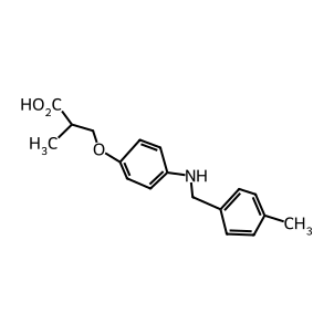 Cc1ccc(CNc2ccc(OCC(C)C(=O)O)cc2)cc1